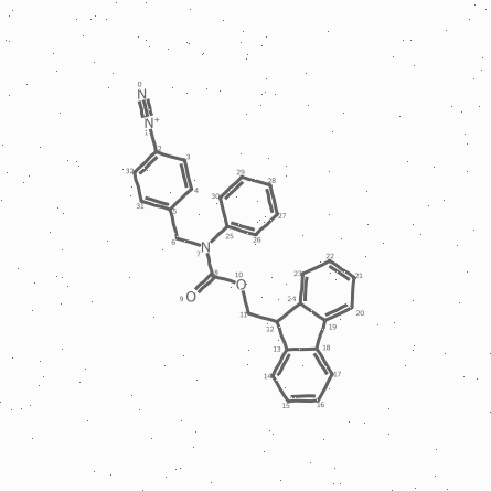 N#[N+]c1ccc(CN(C(=O)OCC2c3ccccc3-c3ccccc32)c2ccccc2)cc1